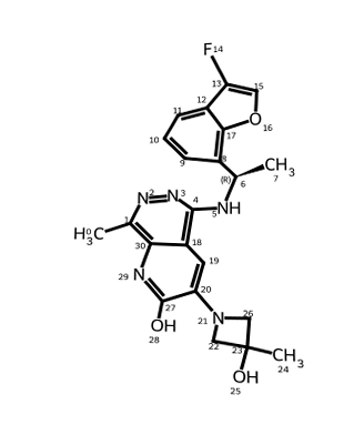 Cc1nnc(N[C@H](C)c2cccc3c(F)coc23)c2cc(N3CC(C)(O)C3)c(O)nc12